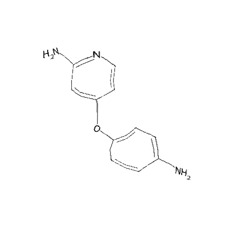 Nc1ccc(Oc2ccnc(N)c2)cc1